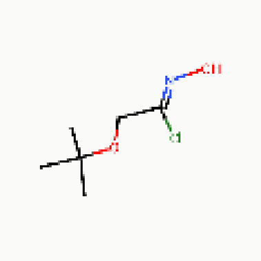 CC(C)(C)OC/C(Cl)=N/O